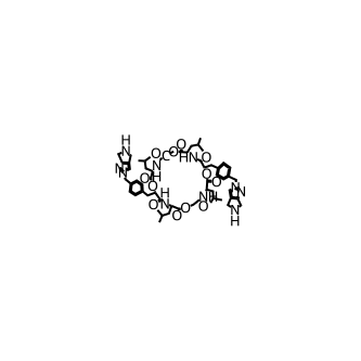 CC(C)CC1NC(=O)C(Cc2ccc(Cn3cc4c(n3)CNC4)cc2)OC(=O)C(CC(C)C)NC(=O)COC(=O)C(CC(C)C)NC(=O)C(Cc2ccc(Cn3cc4c(n3)CNC4)cc2)OC(=O)C(CC(C)C)NC(=O)COC1=O